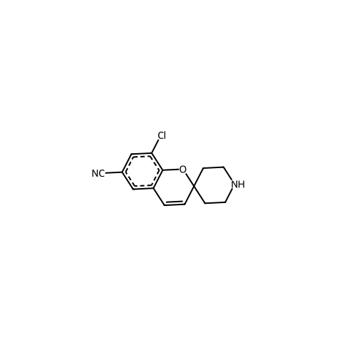 N#Cc1cc(Cl)c2c(c1)C=CC1(CCNCC1)O2